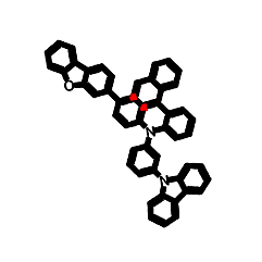 c1cc(N(c2ccc(-c3ccc4c(c3)oc3ccccc34)cc2)c2ccccc2-c2cccc3ccccc23)cc(-n2c3ccccc3c3ccccc32)c1